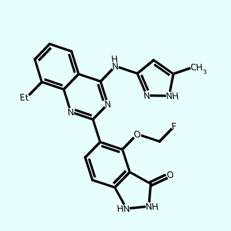 CCc1cccc2c(Nc3cc(C)[nH]n3)nc(-c3ccc4[nH][nH]c(=O)c4c3OCF)nc12